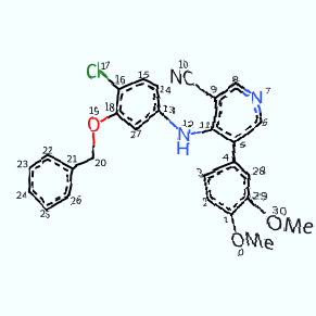 COc1ccc(-c2cncc(C#N)c2Nc2ccc(Cl)c(OCc3ccccc3)c2)cc1OC